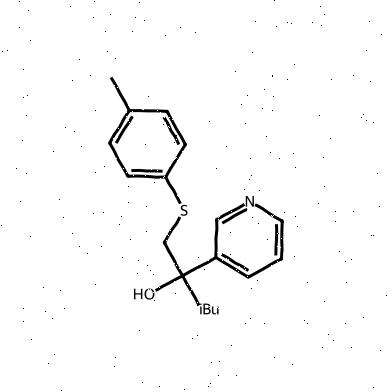 CCC(C)C(O)(CSc1ccc(C)cc1)c1cccnc1